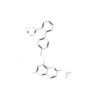 CCOC(=O)C(C)Oc1ccc2nc(CC)cc(OCc3ccc(-c4ccccc4-c4nnn[nH]4)cc3)c2n1.Cl